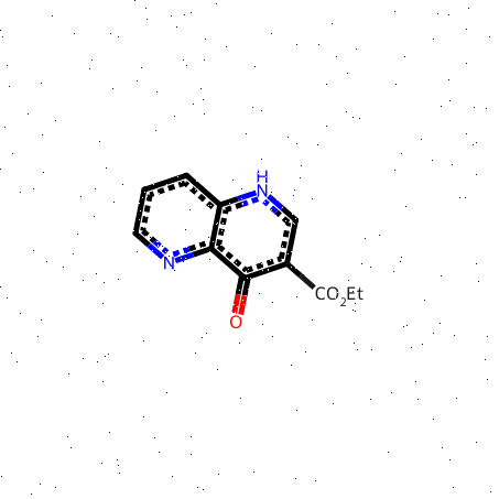 CCOC(=O)c1c[nH]c2cccnc2c1=O